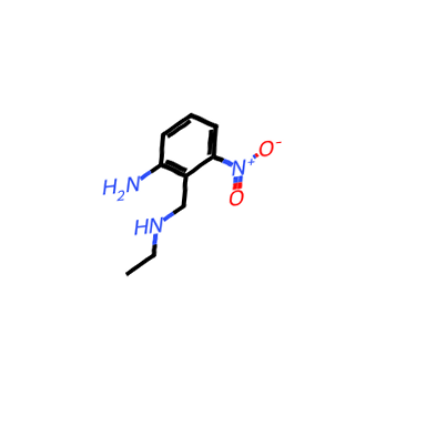 CCNCc1c(N)cccc1[N+](=O)[O-]